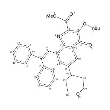 CCCCOc1c(C(=O)OC)nc2c(N=C(c3ccccc3)c3ccccc3)cc(N3CCOCC3)cn2c1=O